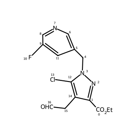 CCOC(=O)c1nn(Cc2cncc(F)c2)c(Cl)c1CC=O